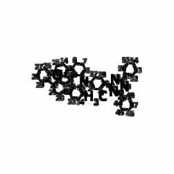 Cc1cc(N2c3ccccc3C(c3ccccc3)(c3cccc4c3oc3ccccc34)c3ccccc32)ccc1-c1nc(-c2ccccc2)nc(-c2ccccc2)n1